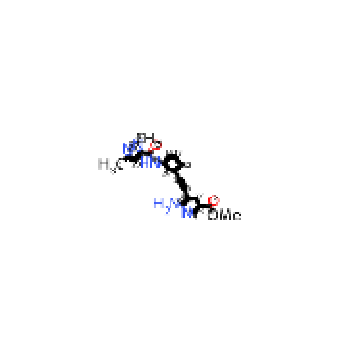 COC(=O)c1cnc(N)c(C#Cc2cccc(NC(=O)c3cc(C)nn3C)c2)c1